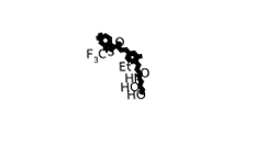 CCc1cc(CCC(=O)c2sc(C(F)(F)F)c3c2CCC(C)(C)C3)cc(C)c1CCC(=O)NCC(O)CO